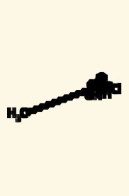 C#CC1(c2ccc(Cl)cc2)c2ccccc2-c2ccc(C(O)CCCCCCCCCCCCCCCCCCCCC)cc21